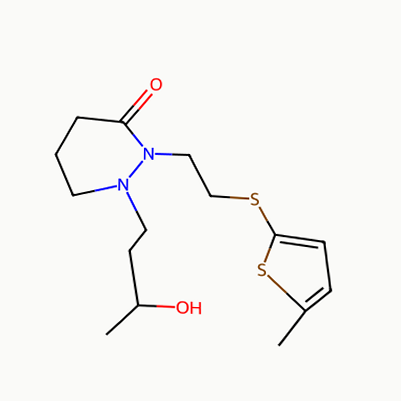 Cc1ccc(SCCN2C(=O)CCCN2CCC(C)O)s1